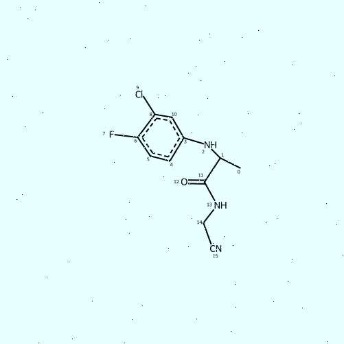 CC(Nc1ccc(F)c(Cl)c1)C(=O)NCC#N